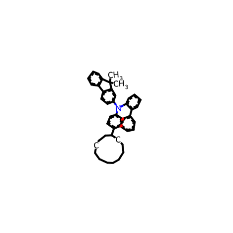 CC1(C)c2ccccc2-c2ccc(N(c3ccc(C4CCCCCCCCCCC4)cc3)c3ccccc3-c3ccccc3)cc21